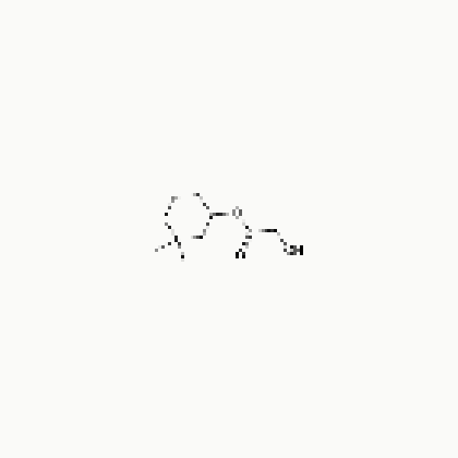 CC1(C)CCCC(OC(=O)CO)C1